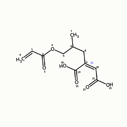 C=CC(=O)OCC(C)C/C(=C/C(=O)O)C(=O)O